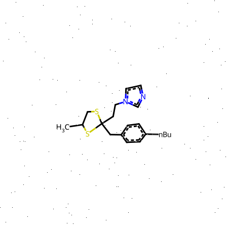 CCCCc1ccc(CC2(CCn3ccnc3)SCC(C)S2)cc1